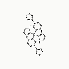 Fc1ccc(-n2cccc2)c(F)[c]1[Zr]([C]1=CC=CC1)([C]1=CC=CC1)[c]1c(F)ccc(-n2cccc2)c1F